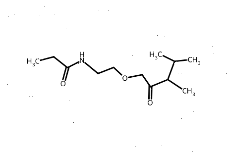 CCC(=O)NCCOCC(=O)C(C)C(C)C